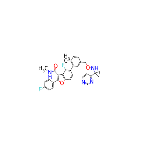 CNC(=O)c1c(-c2ccc(F)cc2)oc2ccc(-c3cc(CONC4(c5ccncn5)CC4)ccc3C)c(F)c12